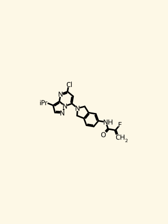 C=C(F)C(=O)Nc1ccc2c(c1)CN(c1cc(Cl)nc3c(C(C)C)cnn13)C2